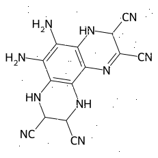 N#CC1=Nc2c(c(N)c(N)c3c2NC(C#N)C(C#N)N3)NC1C#N